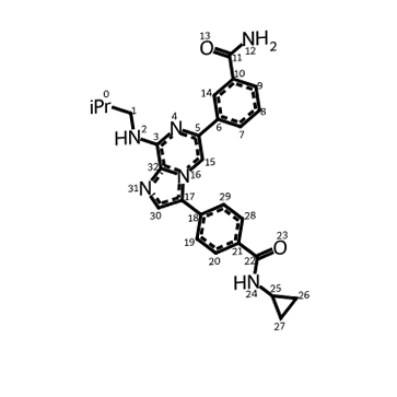 CC(C)CNc1nc(-c2cccc(C(N)=O)c2)cn2c(-c3ccc(C(=O)NC4CC4)cc3)cnc12